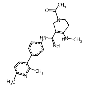 CNC1=C(C(=N)Nc2ccc(-c3ccc(C)nc3C)cc2)CN(C(C)=O)CC1